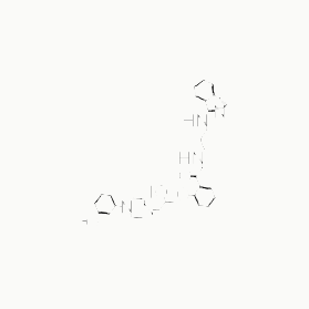 COc1cccc(N2CCN(CC(O)COc3ccccc3C(=O)CNCCCNc3nsc4ccccc34)CC2)c1